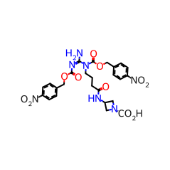 NC(=NC(=O)OCc1ccc([N+](=O)[O-])cc1)N(CCCC(=O)NC1CN(C(=O)O)C1)C(=O)OCc1ccc([N+](=O)[O-])cc1